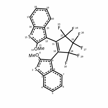 COc1sc2ccccc2c1C1=C(c2c(OC)sc3ccccc23)C(F)(F)C(F)(F)C1(F)F